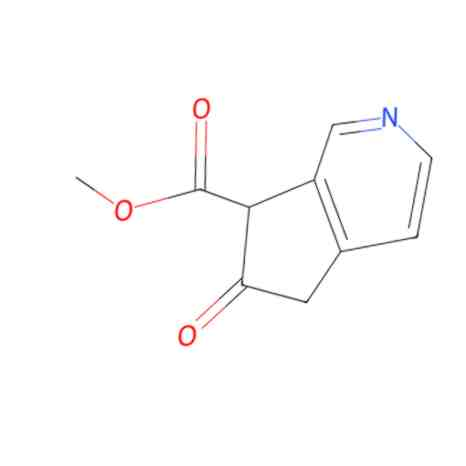 COC(=O)C1C(=O)Cc2ccncc21